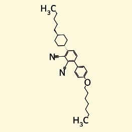 CCCCCCCOc1ccc(-c2ccc([C@H]3CC[C@H](CCCCC)CC3)c(C#N)c2C#N)cc1